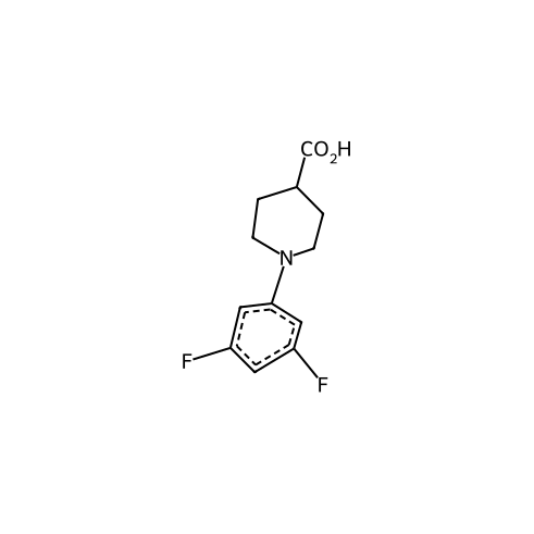 O=C(O)C1CCN(c2cc(F)cc(F)c2)CC1